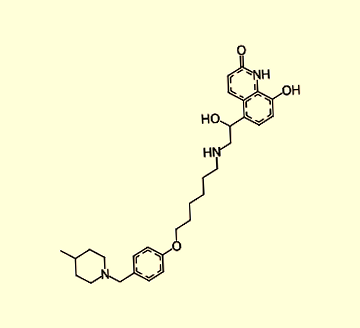 CC1CCN(Cc2ccc(OCCCCCCNCC(O)c3ccc(O)c4[nH]c(=O)ccc34)cc2)CC1